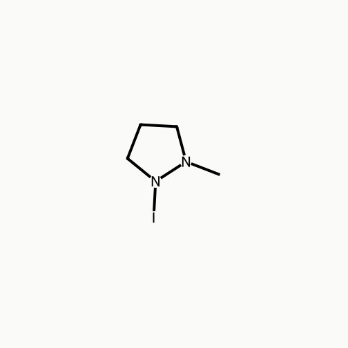 CN1CCCN1I